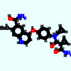 COc1cc2nccc(Oc3ccc(N(C(=O)C4(C(N)=O)CC4)C4CC4)cc3)c2cc1C(N)=O